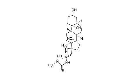 CN(C)C(=N)N/N=C/[C@@]1(O)CC[C@]2(O)[C@@H]3CC[C@@H]4C[C@@H](O)CC[C@]4(C)[C@H]3CC[C@]12C